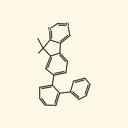 CC1(C)c2cc(-c3ccccc3-c3ccccc3)ccc2-c2cncnc21